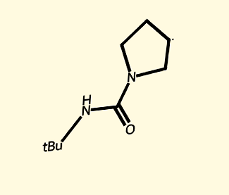 CC(C)(C)NC(=O)N1C[CH]CC1